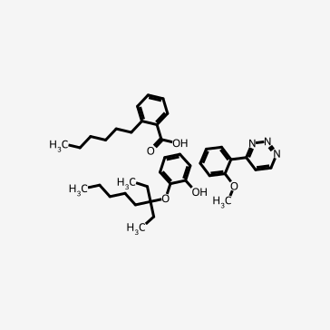 CCCCCC(CC)(CC)Oc1ccccc1O.CCCCCCc1ccccc1C(=O)O.COc1ccccc1-c1ccnnn1